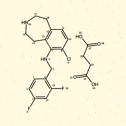 Fc1ccc(CNc2c(Cl)ccc3c2CCNCC3)c(F)c1.O=C(O)CCC(=O)O